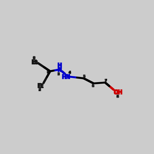 CCC(CC)NNCCCO